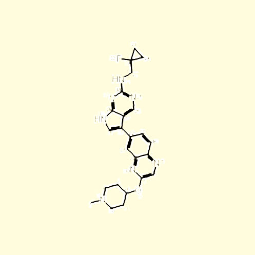 CN1CCC(Oc2cnc3ccc(-c4c[nH]c5nc(NCC6(F)CC6)ncc45)cc3n2)CC1